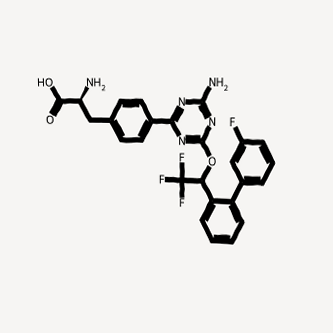 Nc1nc(OC(c2ccccc2-c2cccc(F)c2)C(F)(F)F)nc(-c2ccc(C[C@H](N)C(=O)O)cc2)n1